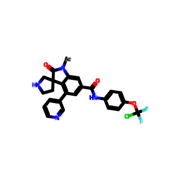 CC(=O)N1C(=O)C2(CCNC2)c2c(-c3cccnc3)cc(C(=O)Nc3ccc(OC(F)(F)Cl)cc3)cc21